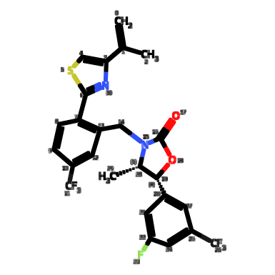 C=C(C)c1csc(-c2ccc(C(F)(F)F)cc2CN2C(=O)O[C@H](c3cc(F)cc(C(F)(F)F)c3)[C@@H]2C)n1